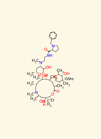 CC[C@H]1OC(=O)[C@H](C)[C@@H](C2C[C@@](C)(OC)[C@@H](O)[C@H](C)O2)[C@H](C)[C@@H](O[C@@H]2O[C@H](C)C[C@H](N(C)CCNC(=O)[C@@H]3CCCN3Cc3ccccc3)[C@H]2O)[C@](C)(O)C[C@@H](C)CN(C)[C@H](C)[C@@H](O)[C@]1(C)O